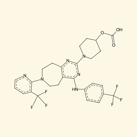 O=C(O)OC1CCN(c2nc3c(c(Nc4ccc(C(F)(F)F)cc4)n2)CCN(c2ncccc2C(F)(F)F)CC3)CC1